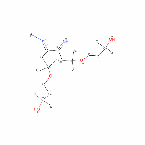 CC/N=C(\CC(C)(C)OCCC(C)(C)O)C(=N)CC(C)(C)OCCC(C)(C)O